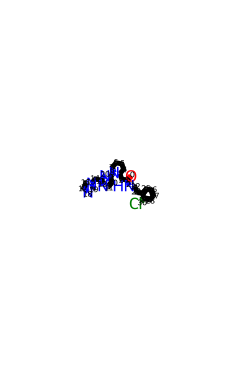 O=C(CC1CCCCN1c1ccnc(Cn2ccnc2)n1)NCCc1ccccc1Cl